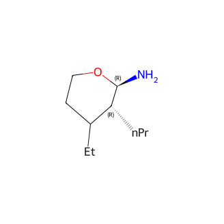 CCC[C@@H]1C(CC)CCO[C@H]1N